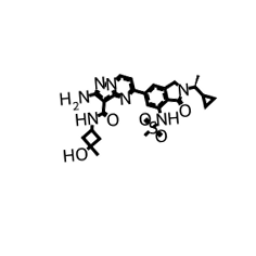 C[C@@H](C1CC1)N1Cc2cc(-c3ccn4nc(N)c(C(=O)NC5CC(C)(O)C5)c4n3)cc(NS(C)(=O)=O)c2C1=O